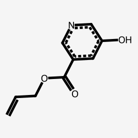 C=CCOC(=O)c1cncc(O)c1